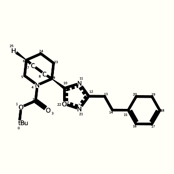 CC(C)(C)OC(=O)N1C[C@H]2CC[C@]1(c1nc(CCC3=CC=CCC3)no1)CC2